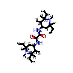 CCC1(C)CC(NC(=O)C(=O)NC2CC(C)(CC)N(C)C(C)(CC)C2C)C(C)C(C)(CC)N1C